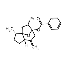 C=C1C[C@]2(OC(=O)c3ccccc3)O[C@@]3(C[C@H]2C(C)C)[C@@H](C)CC[C@@H]13